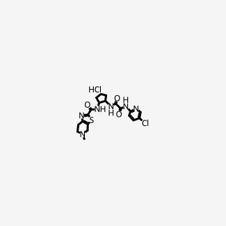 CN1CCc2nc(C(=O)NC3CCCC3NC(=O)C(=O)Nc3ccc(Cl)cn3)sc2C1.Cl